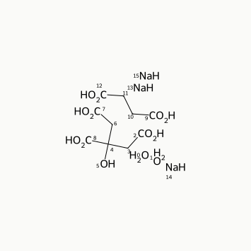 O.O.O=C(O)CC(O)(CC(=O)O)C(=O)O.O=C(O)CCC(=O)O.[NaH].[NaH].[NaH]